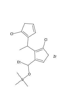 CCC(O[Si](C)(C)C)C1=CCC(Cl)=C1C(C)C1=C(Cl)CC=C1.[Zr]